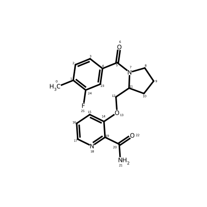 Cc1ccc(C(=O)N2CCCC2COc2cccnc2C(N)=O)cc1F